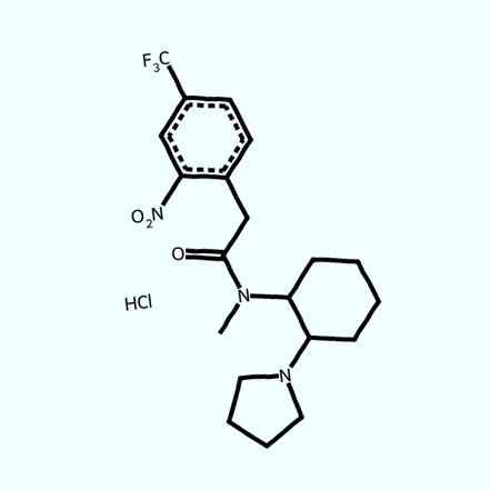 CN(C(=O)Cc1ccc(C(F)(F)F)cc1[N+](=O)[O-])C1CCCCC1N1CCCC1.Cl